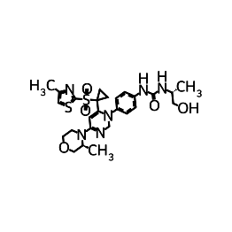 Cc1csc(S(=O)(=O)C2(C3=CC(N4CCOC[C@@H]4C)=NCN3c3ccc(NC(=O)N[C@H](C)CO)cc3)CC2)n1